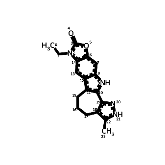 CCn1c(=O)oc2cc3[nH]c4c(c3cc21)CCCc1c-4n[nH]c1C